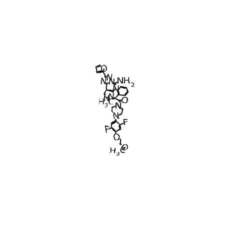 COCCOc1cc(F)c(N2CCN(C(=O)C(C)(c3ccccc3)n3ncc4c3nc(N)n3nc(-c5ccco5)nc43)CC2)cc1F